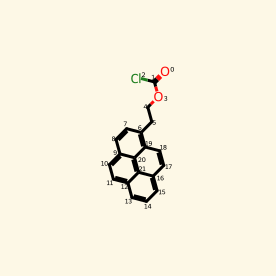 O=C(Cl)OCCc1ccc2ccc3cccc4ccc1c2c34